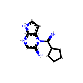 N=C(C1CCCC1)n1c(=N)cnc2[nH]ccc21